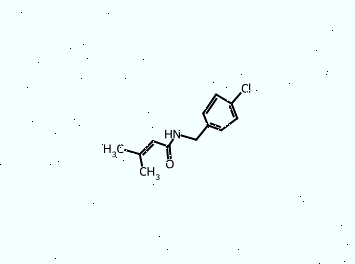 CC(C)=CC(=O)NCc1ccc(Cl)cc1